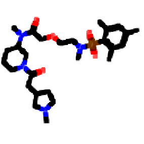 Cc1cc(C)c(S(=O)(=O)N(C)CCOCC(=O)N(C)C2CCCN(C(=O)CC3CCN(C)C3)C2)c(C)c1